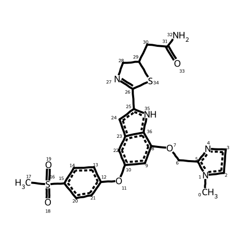 Cn1ccnc1COc1cc(Oc2ccc(S(C)(=O)=O)cc2)cc2cc(C3=NCC(CC(N)=O)S3)[nH]c12